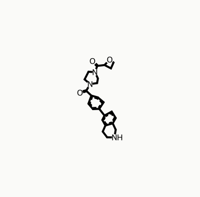 O=C(c1ccc(-c2ccc3c(c2)CCNC3)cc1)N1CCN(C(=O)C2CCO2)CC1